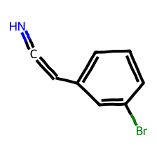 N=C=Cc1cccc(Br)c1